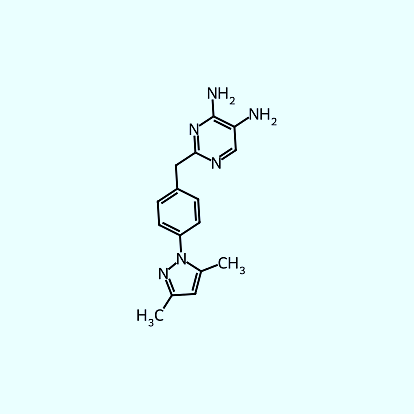 Cc1cc(C)n(-c2ccc(Cc3ncc(N)c(N)n3)cc2)n1